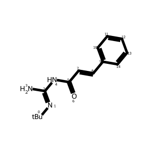 CC(C)(C)N=C(N)NC(=O)C=Cc1ccccc1